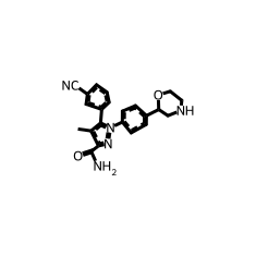 Cc1c(C(N)=O)nn(-c2ccc(C3CNCCO3)cc2)c1-c1cccc(C#N)c1